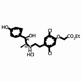 CCOC(=O)COc1cc(Cl)c(CCN[C@@H](C)[C@H](O)c2ccc(O)cc2)cc1Cl.Cl